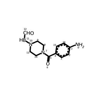 Nc1ccc(C(=O)N2CCN(BC=O)CC2)cc1